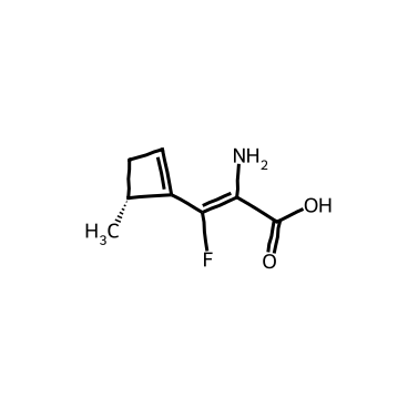 C[C@@H]1CC=C1/C(F)=C(\N)C(=O)O